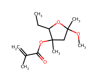 C=C(C)C(=O)OC1(C)CC(C)(OC)OC1CC